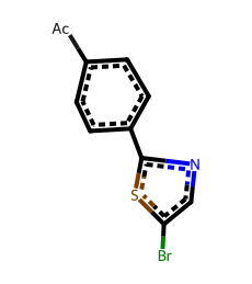 CC(=O)c1ccc(-c2ncc(Br)s2)cc1